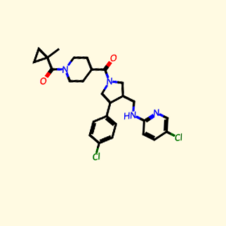 CC1(C(=O)N2CCC(C(=O)N3CC(CNc4ccc(Cl)cn4)C(c4ccc(Cl)cc4)C3)CC2)CC1